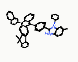 Cc1ccc2c(c1)N(c1ccccc1)C(c1ccc(-c3c4ccccc4c(-c4ccc5ccccc5c4)c4cc5c(cc34)-c3ccccc3C5(C)C)cc1)N2